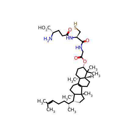 CC(C)=CCC[C@@H](C)[C@H]1CC[C@@]2(C)C3=C(CC[C@]12C)[C@@]1(C)CC[C@H](OC(=O)CNC(=O)[C@H](CS)NC(=O)CC[C@H](N)C(=O)O)C(C)(C)[C@@H]1CC3